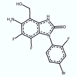 Nc1c(F)c(F)c2c([nH]c(=O)n2-c2ccc(Br)cc2F)c1CO